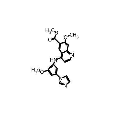 COC(=O)c1cc2c(Nc3cc(OC)cc(-n4ccnc4)c3)ccnc2cc1OC